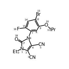 CCn1c(C#N)c(C#N)n(-c2cc(OC(C)C)c(Br)cc2F)c1=O